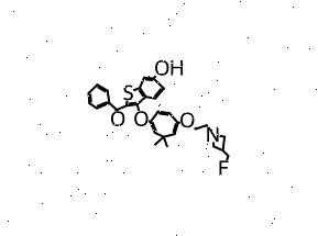 CC1(C)C=C(OCCN2CC(CF)C2)C=CC(Oc2c(C(=O)c3ccccc3)sc3cc(O)ccc23)=C1